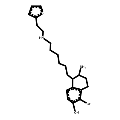 NC1CCc2c(ccc(O)c2O)C1CCCCCCNCCc1cccs1